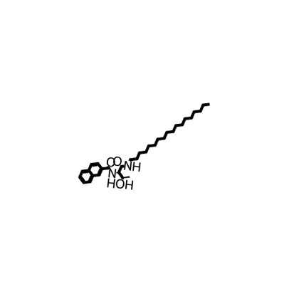 CCCCCCCCCCCCCCCCCCNC(=O)[C@@H](NC(=O)c1ccc2ccccc2c1)[C@@H](C)O